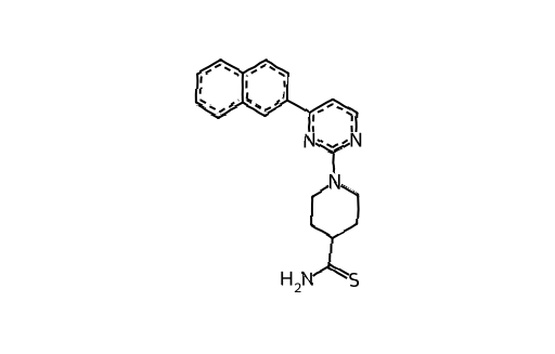 NC(=S)C1CCN(c2nccc(-c3ccc4ccccc4c3)n2)CC1